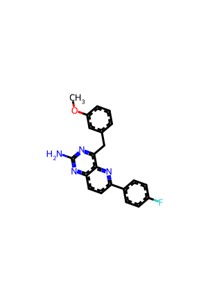 COc1cccc(Cc2nc(N)nc3ccc(-c4ccc(F)cc4)nc23)c1